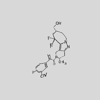 C[C@@H]1Cc2nn3c(c2CN1C(=O)Nc1ccc(F)c(C#N)c1)C(F)(F)CC(CO)CC3